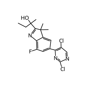 CCC(C)(O)C1=Nc2c(F)cc(-c3nc(Cl)ncc3Cl)cc2C1(C)C